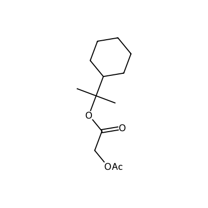 CC(=O)OCC(=O)OC(C)(C)C1CCCCC1